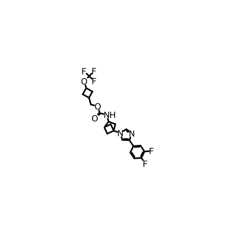 O=C(NC1CC2(n3cnc(-c4ccc(F)c(F)c4)c3)CC1C2)OCC1CC(OC(F)(F)F)C1